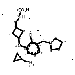 CC1CC1.O=C(O)NCC1CC(Oc2cccc(CN3CCCC3)c2Cl)C1